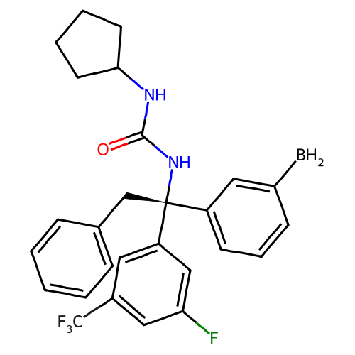 Bc1cccc([C@@](Cc2ccccc2)(NC(=O)NC2CCCC2)c2cc(F)cc(C(F)(F)F)c2)c1